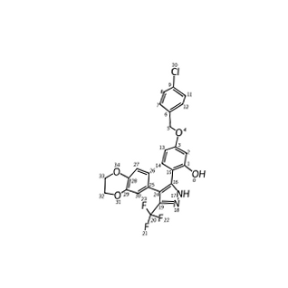 Oc1cc(OCc2ccc(Cl)cc2)ccc1-c1[nH]nc(C(F)(F)F)c1-c1ccc2c(c1)OCCO2